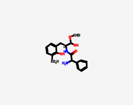 NC(C(=O)N[C@@H](Cc1cccc(C(=O)O)c1O)B(O)OC=O)c1ccccc1